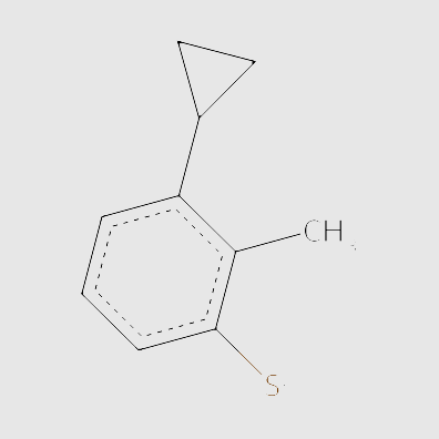 Cc1c([S])cccc1C1CC1